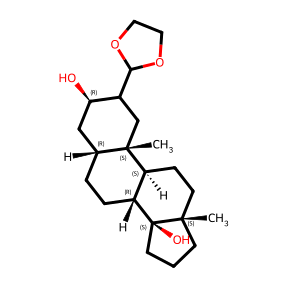 C[C@]12CC(C3OCCO3)[C@H](O)C[C@H]1CC[C@@H]1[C@@H]2CC[C@]2(C)CCC[C@]12O